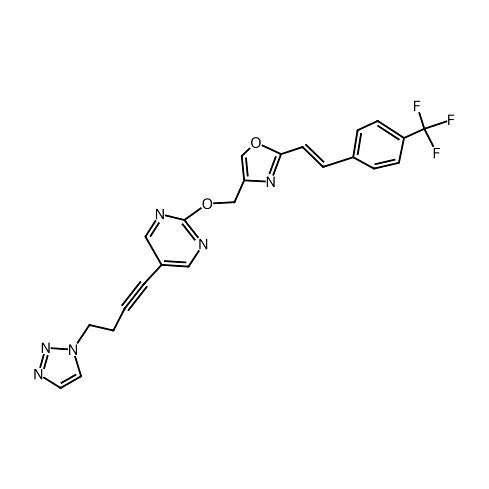 FC(F)(F)c1ccc(C=Cc2nc(COc3ncc(C#CCCn4ccnn4)cn3)co2)cc1